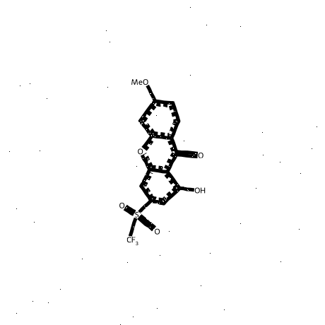 COc1ccc2c(=O)c3c(O)cc(S(=O)(=O)C(F)(F)F)cc3oc2c1